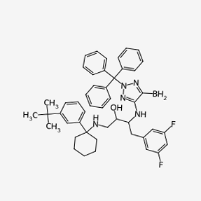 Bc1nn(C(c2ccccc2)(c2ccccc2)c2ccccc2)nc1NC(Cc1cc(F)cc(F)c1)C(O)CNC1(c2cccc(C(C)(C)C)c2)CCCCC1